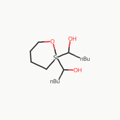 CCCCC(O)[Si]1(C(O)CCCC)CCCCO1